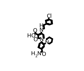 NC(=O)c1ccc(-n2ccc(NCCc3cccc(Cl)c3)c(C(=O)O)c2=O)c(N2CCCCC2)c1